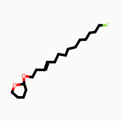 FCCCCCCCCCCC=CCCOC1CCCCO1